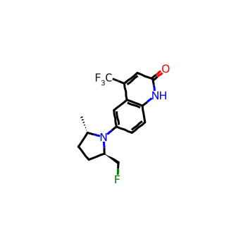 C[C@H]1CC[C@H](CF)N1c1ccc2[nH]c(=O)cc(C(F)(F)F)c2c1